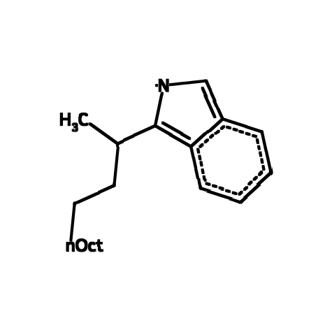 CCCCCCCCCCC(C)C1=c2ccccc2=C[N]1